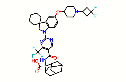 O=C(NC1(C(=O)O)C2CC3CC(C2)CC1C3)c1cnc(N2CC3(CCCCC3)c3cc(OC4CCN(C5CC(F)(F)C5)CC4)ccc32)nc1C(F)(F)F